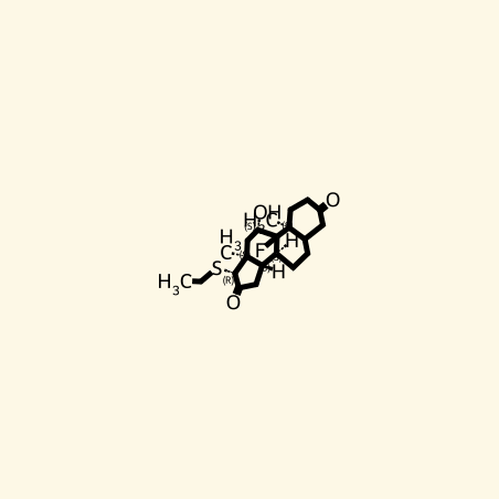 CCS[C@H]1C(=O)C[C@H]2[C@@H]3CCC4CC(=O)CC[C@]4(C)C3(F)[C@@H](O)C[C@]12C